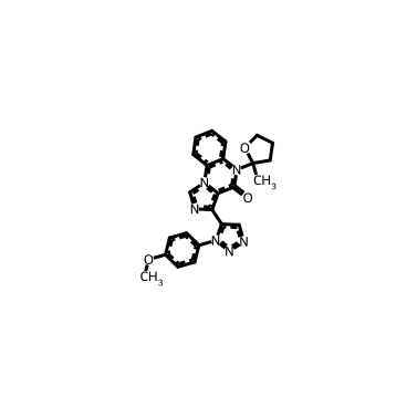 COc1ccc(-n2nncc2-c2ncn3c2c(=O)n(C2(C)CCCO2)c2ccccc23)cc1